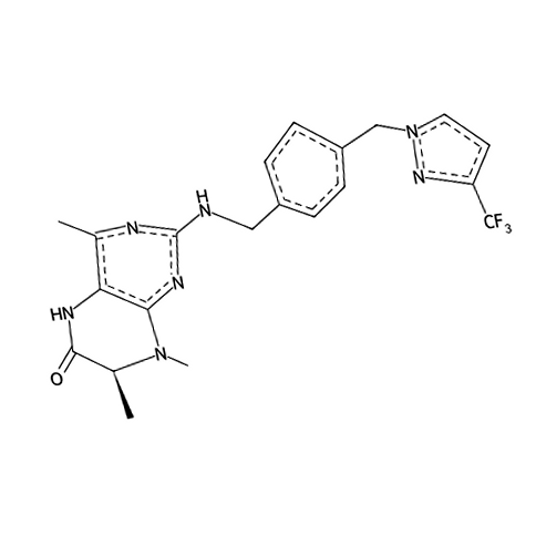 Cc1nc(NCc2ccc(Cn3ccc(C(F)(F)F)n3)cc2)nc2c1NC(=O)[C@H](C)N2C